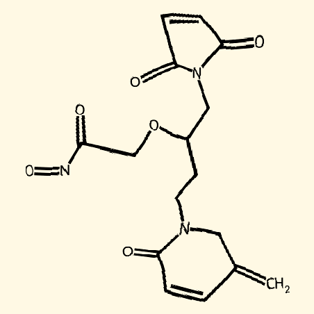 C=C1C=CC(=O)N(CCC(CN2C(=O)C=CC2=O)OCC(=O)N=O)C1